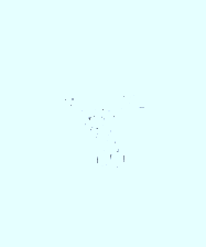 C=CC(=O)N1CC[C@@H]2[C@H]1CN2c1nc(N2CC(N(C)C)C2)nc2c(F)c(-c3cccc4ccc(F)c(Cl)c34)ncc12